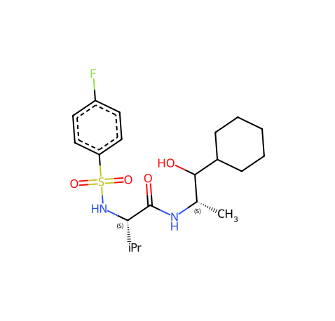 CC(C)[C@H](NS(=O)(=O)c1ccc(F)cc1)C(=O)N[C@@H](C)C(O)C1CCCCC1